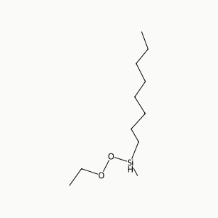 CCCCCCCC[SiH](C)OOCC